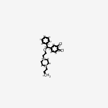 C=CCN1CCN(CCOC(c2ccccc2)c2ccc(Cl)c(Cl)c2)CC1